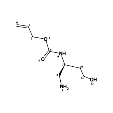 C=CCOC(=O)N[C@H](CN)CCO